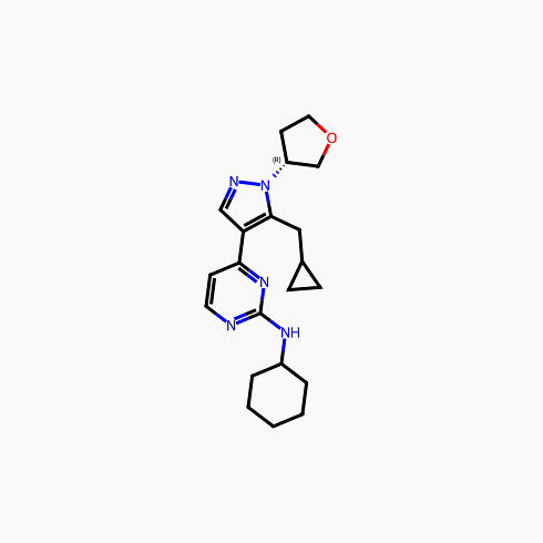 c1cc(-c2cnn([C@@H]3CCOC3)c2CC2CC2)nc(NC2CCCCC2)n1